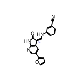 N#Cc1cccc(N/C=C2\C(=O)Nc3ncc(-c4ccco4)cc32)c1